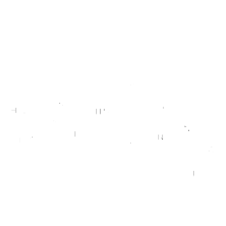 CC[C@H]1O[C@@H](n2cc(C)c(=O)[nH]c2=O)CC1OC(=O)c1ccccc1C(C)SSC(C)C